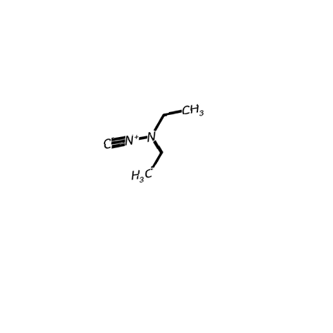 [C-]#[N+]N(CC)CC